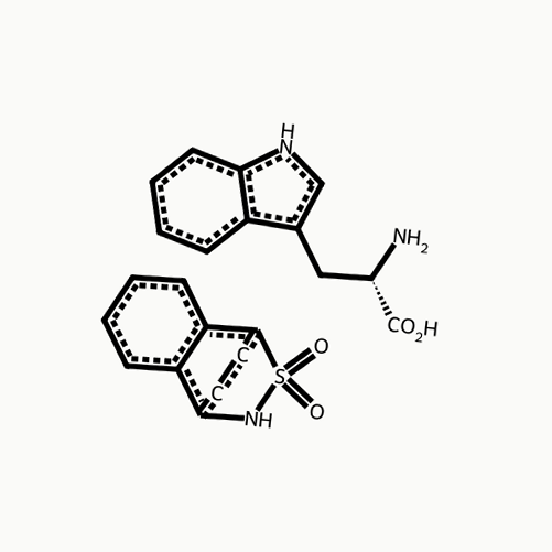 N[C@@H](Cc1c[nH]c2ccccc12)C(=O)O.O=S1(=O)Nc2ccc1c1ccccc21